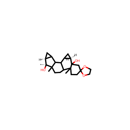 CC12CCC3(CC1(O)[C@@H]1C[C@@H]1C1C2CCC2(C)C1C1C[C@@H]1[C@]2(C)O)OCCO3